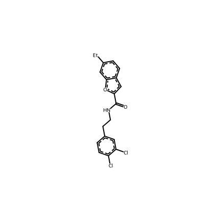 CCc1ccc2cc(C(=O)NCCc3ccc(Cl)c(Cl)c3)oc2c1